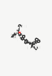 C=CS(=O)(=O)CCN(C)c1nc(OCC23CCCN2C(c2ccc(Cl)c4c(N5CCc6c(nc(OC[C@@H]7CCCN7C)nc6N6CC(S(=O)(=O)C=C)C6)C5)cccc24)CC3)nc2c1CCN(c1cccc3cccc(Cl)c13)C2